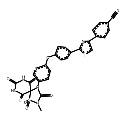 CN1C(=O)N(c2ccc(Oc3ccc(-c4nc(-c5ccc(C#N)cc5)co4)cc3)nc2)C2(C(=O)NC(=O)NC2=O)S1(=O)=O